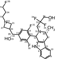 C[C@@H]1Cc2c([nH]c3ccccc23)C(c2c(F)cc([C@H](O)C3CN(CCCF)C3)cc2F)N1CC(F)(F)CO